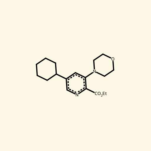 CCOC(=O)c1ncc(C2CCCCC2)cc1N1CCOCC1